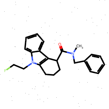 CN(Cc1ccccc1)C(=O)C1CCCc2c1c1ccccc1n2CCF